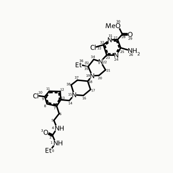 CCNC(=O)NCCc1cc(Cl)ccc1CN1CCC(N2CCN(c3nc(N)c(C(=O)OC)nc3Cl)C[C@@H]2CC)CC1